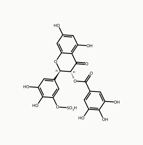 O=C(O[C@H]1C(=O)c2c(O)cc(O)cc2O[C@@H]1c1cc(O)c(O)c(OS(=O)(=O)O)c1)c1cc(O)c(O)c(O)c1